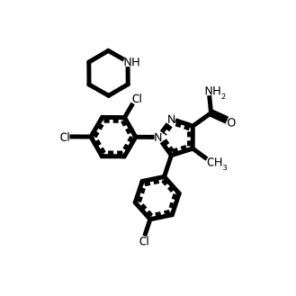 C1CCNCC1.Cc1c(C(N)=O)nn(-c2ccc(Cl)cc2Cl)c1-c1ccc(Cl)cc1